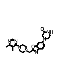 Cc1ncnc(N2CCN(Cc3nc4ccc(N5CCNC(=O)C5)cc4o3)CC2)c1C